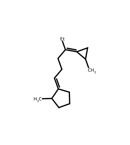 CCC(CCC=C1CCCC1C)=C1CC1C